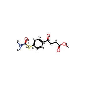 COC(=O)CCC(=O)c1ccc(SC(=O)N(C)C)cc1